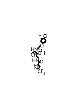 C=CC(NC(=O)COc1ccc(Cl)c(F)c1)[C@@H](O)CCNC(=O)c1cc(C(F)(F)F)no1